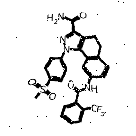 CS(=O)(=O)c1ccc(-n2nc(C(N)=O)c3c2-c2cc(NC(=O)c4ccccc4C(F)(F)F)ccc2CC3)cc1